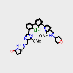 COc1nc(-c2cccc(-c3cccc(-c4cnc(CNC[C@@H]5CCC(=O)N5)c(OC)n4)c3Cl)c2Cl)ccc1CNC1CCOCC1